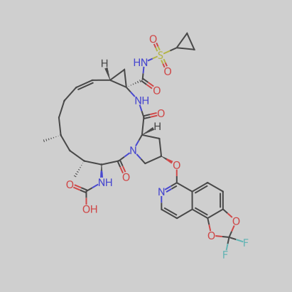 C[C@@H]1CC/C=C\[C@@H]2C[C@@]2(C(=O)NS(=O)(=O)C2CC2)NC(=O)[C@@H]2C[C@@H](Oc3nccc4c5c(ccc34)OC(F)(F)O5)CN2C(=O)[C@@H](NC(=O)O)[C@H](C)C1